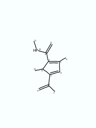 C=C(C)C1=CC(C)=C(C(=C)PC)C1C